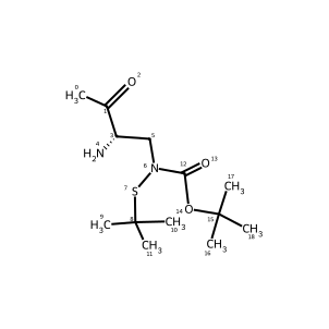 CC(=O)[C@@H](N)CN(SC(C)(C)C)C(=O)OC(C)(C)C